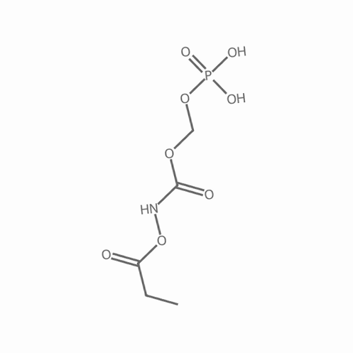 CCC(=O)ONC(=O)OCOP(=O)(O)O